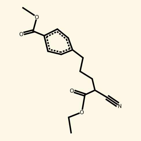 CCOC(=O)C(C#N)CCCc1ccc(C(=O)OC)cc1